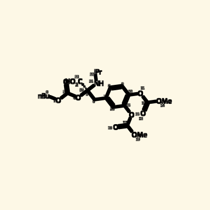 CCCCOC(=O)O[C@](Cc1ccc(OC(=O)OC)c(OC(=O)OC)c1)(NC(C)C)C(=O)O